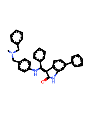 CN(Cc1ccccc1)Cc1ccc(N/C(=C2\C(=O)Nc3cc(-c4ccccc4)ccc32)c2ccccc2)cc1